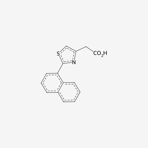 O=C(O)Cc1csc(-c2cccc3ccccc23)n1